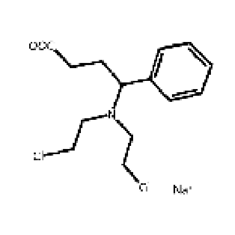 O=C([O-])CCC(c1ccccc1)N(CCCl)CCCl.[Na+]